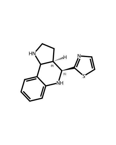 c1ccc2c(c1)N[C@H](c1nccs1)[C@@H]1CCNC21